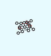 N#Cc1c(-n2c3ccccc3c3c(-c4ccccc4)cccc32)c(-n2c3ccccc3c3c(-c4ccccc4)cccc32)c(-c2cccc3oc4cnccc4c23)c(-n2c3ccccc3c3c(-c4ccccc4)cccc32)c1-n1c2ccccc2c2c(-c3ccccc3)cccc21